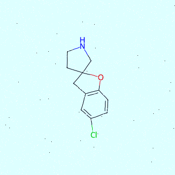 Clc1ccc2c(c1)CC1(CCNC1)O2